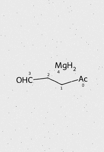 CC(=O)CCC=O.[MgH2]